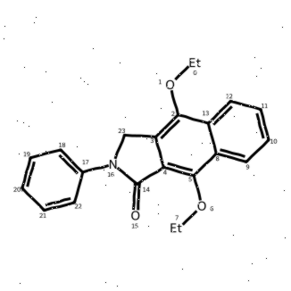 CCOc1c2c(c(OCC)c3ccccc13)C(=O)N(c1cc[c]cc1)C2